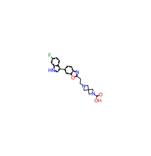 O=C(O)N1CC2(CN(CCc3nc4ccc(-c5c[nH]c6cc(F)ccc56)cc4o3)C2)C1